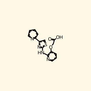 O=C(O)COc1cccnc1Nc1nc(-c2ccccn2)cs1